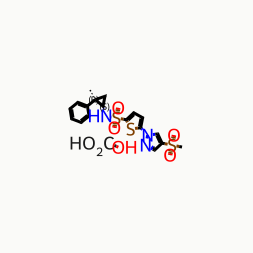 C[C@]1(c2ccccc2)C[C@@H]1NS(=O)(=O)c1ccc(-n2cc(S(C)(=O)=O)cn2)s1.O=C(O)O